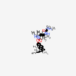 CC(C)CCC[C@@H](C)[C@H]1CCC2C3CC=C4C[C@@H](OC(=O)NC(C)(C)CCC(C)(C)NC(=O)CCNC(=O)O)CC[C@]4(C)C3CC[C@@]21C